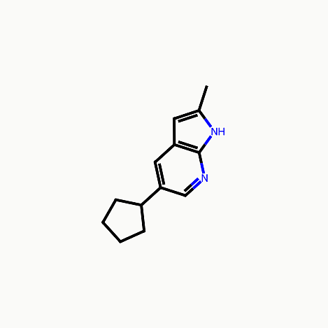 Cc1cc2cc(C3CCCC3)cnc2[nH]1